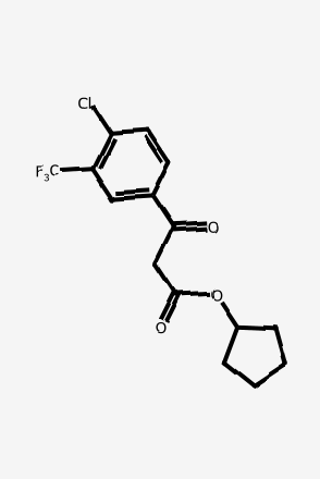 O=C(CC(=O)c1ccc(Cl)c(C(F)(F)F)c1)OC1CCCC1